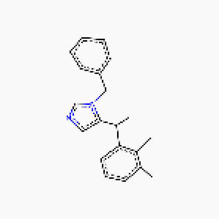 Cc1cccc(C(C)c2cncn2Cc2ccccc2)c1C